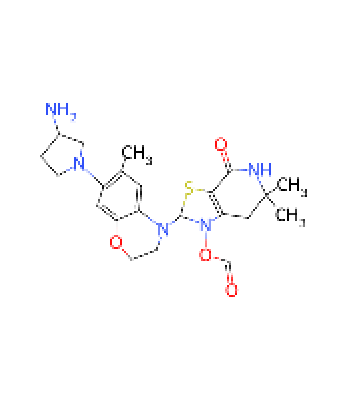 Cc1cc2c(cc1N1CCC(N)C1)OCCN2C1SC2=C(CC(C)(C)NC2=O)N1OC=O